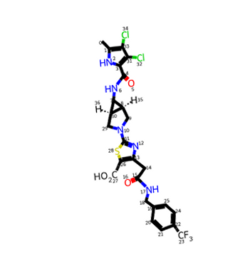 Cc1[nH]c(C(=O)NC2[C@H]3CN(c4nc(CC(=O)NCc5ccc(C(F)(F)F)cc5)c(C(=O)O)s4)C[C@@H]23)c(Cl)c1Cl